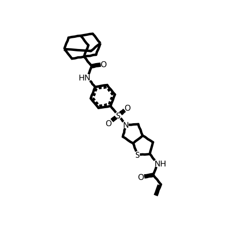 C=CC(=O)NC1CC2CN(S(=O)(=O)c3ccc(NC(=O)C45CC6CC(CC(C6)C4)C5)cc3)CC2S1